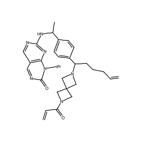 C=CCCCC(c1ccc(C(C)Nc2ncc3cnc(=O)n(C(C)C)c3n2)cc1)N1CC2(CN(C(=O)C=C)C2)C1